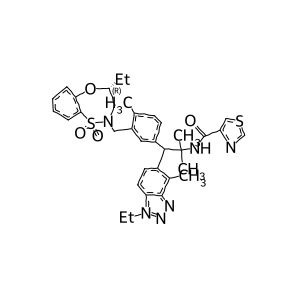 CC[C@@H]1CN(Cc2cc(C(c3ccc4c(nnn4CC)c3C)C(C)(C)NC(=O)c3cscn3)ccc2C)S(=O)(=O)c2ccccc2O1